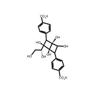 O=C(O)c1ccc(C2C(O)[C@@]3(O)C(c4ccc(C(=O)O)cc4)[C@@](O)([C@H](O)CO)[C@@]23O)cc1